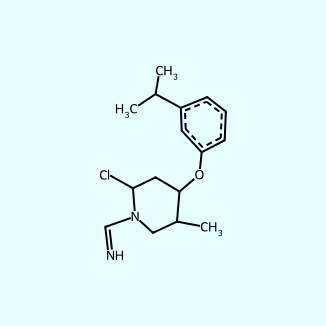 CC(C)c1cccc(OC2CC(Cl)N(C=N)CC2C)c1